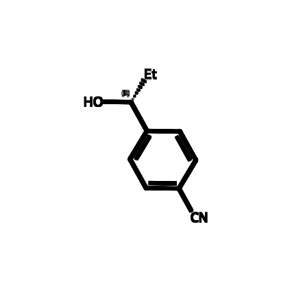 CC[C@@H](O)c1ccc(C#N)cc1